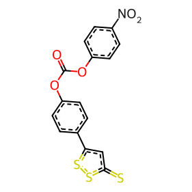 O=C(Oc1ccc(-c2cc(=S)ss2)cc1)Oc1ccc([N+](=O)[O-])cc1